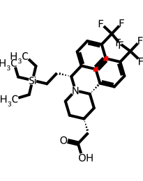 CC[Si](CC)(CC)CC[C@H](c1ccc(C(F)(F)F)cc1)N1CC[C@@H](CC(=O)O)C[C@H]1c1ccc(C(F)(F)F)cc1